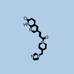 O=C1CCc2cc(/C=C/C(=O)N3CC=C(Cn4ccnc4)CC3)cnc2N1